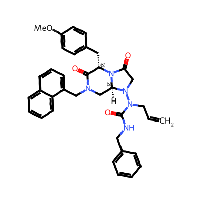 C=CCN(C(=O)NCc1ccccc1)N1CC(=O)N2[C@@H](Cc3ccc(OC)cc3)C(=O)N(Cc3cccc4ccccc34)C[C@@H]21